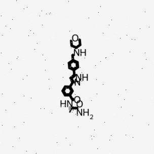 C[C@@H](NC(=O)c1cccc(-c2cc(-c3ccc(CNC4CCOCC4)cc3)[nH]n2)c1)C(N)=O